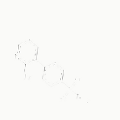 CC(C)c1ncccc1-c1ccc(S(N)(=O)=O)cc1